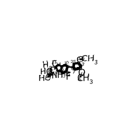 COc1cc(OC)cc(-c2cc3c(cc2F)C(NC(=O)O)C(C)(C)C3)c1